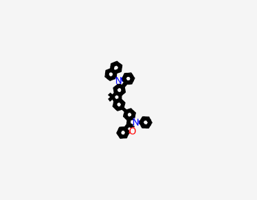 CC1(C)c2ccc(-c3ccc4c(c3)c3c5ccccc5oc3n4-c3ccccc3)cc2-c2cc3c4ccccc4n(-c4cccc5ccccc45)c3cc21